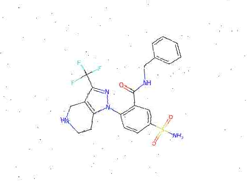 NS(=O)(=O)c1ccc(-n2nc(C(F)(F)F)c3c2CCNC3)c(C(=O)NCc2ccccc2)c1